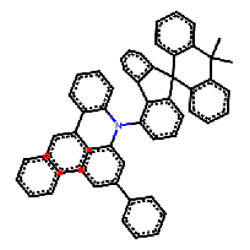 CC1(C)c2ccccc2C2(c3ccccc3-c3c(N(c4cc(-c5ccccc5)cc(-c5ccccc5)c4)c4ccccc4-c4ccccc4)cccc32)c2ccccc21